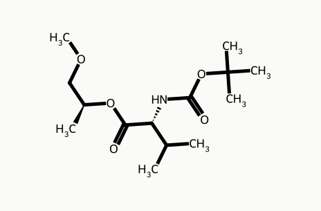 COC[C@H](C)OC(=O)[C@H](NC(=O)OC(C)(C)C)C(C)C